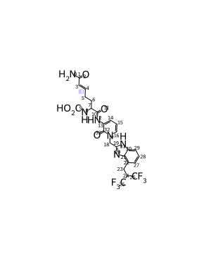 NC(=O)/C=C/CCC(NC(=O)O)C(=O)Nc1cccn(Cc2nc3c(CC(C(F)(F)F)C(F)(F)F)cccc3[nH]2)c1=O